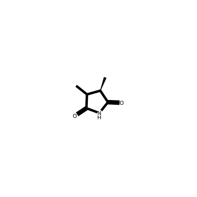 CC1C(=O)NC(=O)[C@@H]1C